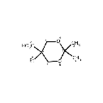 CCC1(C(=O)O)COC(C)(C)OC1